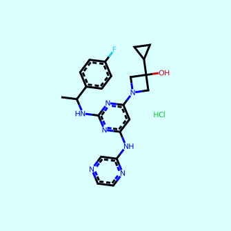 CC(Nc1nc(Nc2cnccn2)cc(N2CC(O)(C3CC3)C2)n1)c1ccc(F)cc1.Cl